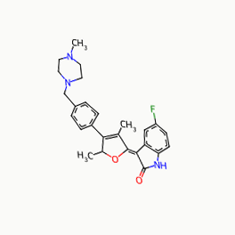 CC1=C(c2ccc(CN3CCN(C)CC3)cc2)C(C)OC1=C1C(=O)Nc2ccc(F)cc21